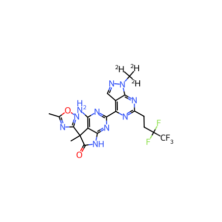 [2H]C([2H])([2H])n1ncc2c(-c3nc(N)c4c(n3)NC(=O)C4(C)c3noc(C)n3)nc(CCC(F)(F)C(F)(F)F)nc21